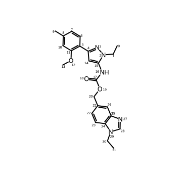 CCn1nc(-c2ccc(C)cc2OC)cc1NC(=O)OCc1ccc2c(c1)ncn2CC